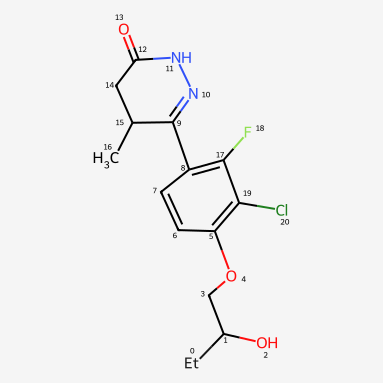 CCC(O)COc1ccc(C2=NNC(=O)CC2C)c(F)c1Cl